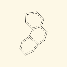 [c]1c[c]c2ccc3ccccc3c2c1